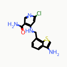 NC(=O)c1cnc(Cl)cc1NCc1cccc2c(N)csc12